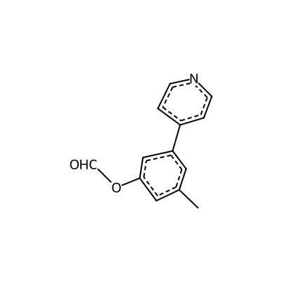 Cc1cc(OC=O)cc(-c2ccncc2)c1